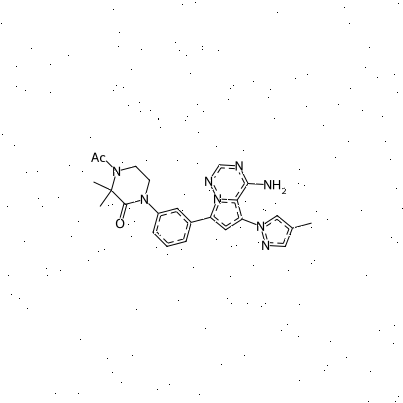 CC(=O)N1CCN(c2cccc(-c3cc(-n4cc(C)cn4)c4c(N)ncnn34)c2)C(=O)C1(C)C